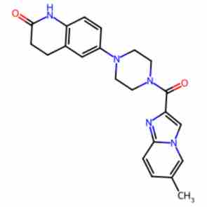 Cc1ccc2nc(C(=O)N3CCN(c4ccc5c(c4)CCC(=O)N5)CC3)cn2c1